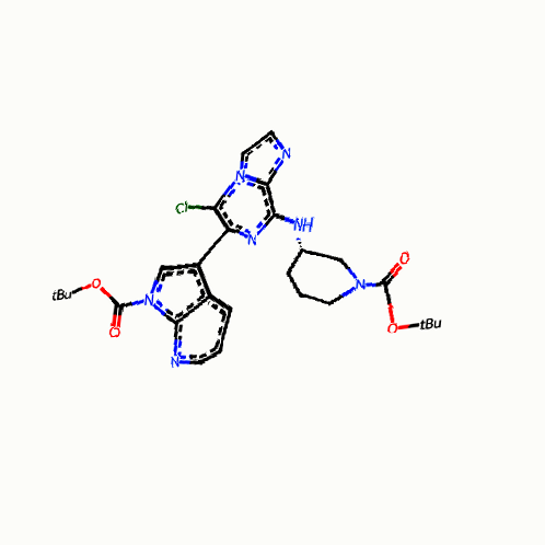 CC(C)(C)OC(=O)N1CCC[C@H](Nc2nc(-c3cn(C(=O)OC(C)(C)C)c4ncccc34)c(Cl)n3ccnc23)C1